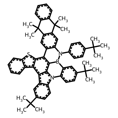 CC(C)(C)c1ccc(N2B3c4cc(C(C)(C)C)ccc4-n4c5ccc(C(C)(C)C)cc5c5c6c(sc7ccccc76)c(c3c54)-c3cc4c(cc32)C(C)(C)c2ccccc2C4(C)C)cc1